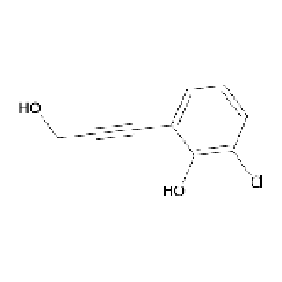 OCC#Cc1cccc(Cl)c1O